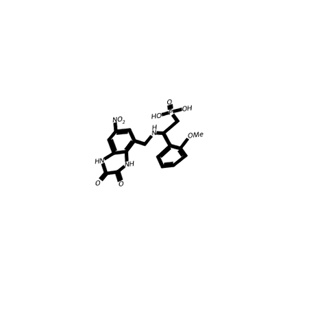 COc1ccccc1C(CP(=O)(O)O)NCc1cc([N+](=O)[O-])cc2[nH]c(=O)c(=O)[nH]c12